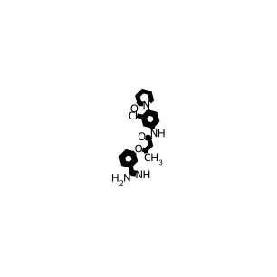 CC(CC(=O)Nc1ccc(N2CCCCC2=O)c(Cl)c1)Oc1cccc(C(=N)N)c1